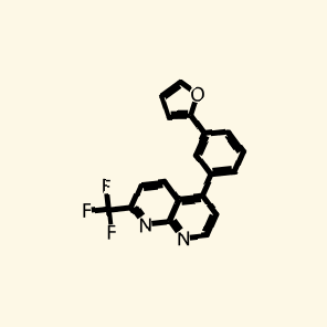 FC(F)(F)c1ccc2c(-c3cccc(-c4ccco4)c3)ccnc2n1